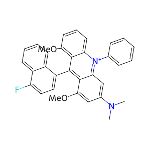 COc1cccc2c1c(-c1ccc(F)c3ccccc13)c1c(OC)cc(N(C)C)cc1[n+]2-c1ccccc1